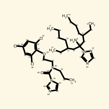 CCCCC(CC)CC(N)(CC(CC)CCCC)n1cncn1.CCCN(CCOc1c(Cl)cc(Cl)cc1Cl)C(=O)n1ccnc1